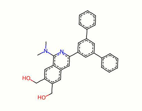 CN(C)c1nc(-c2cc(-c3ccccc3)cc(-c3ccccc3)c2)cc2cc(CO)c(CO)cc12